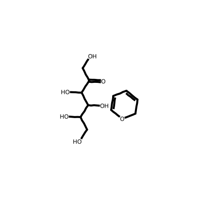 C1=CCOC=C1.O=C(CO)C(O)C(O)C(O)CO